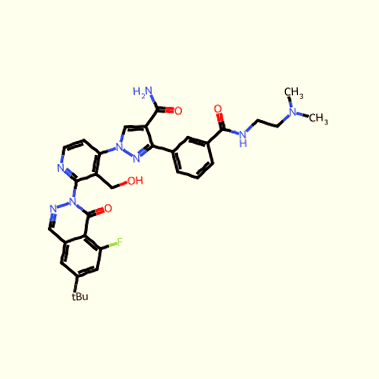 CN(C)CCNC(=O)c1cccc(-c2nn(-c3ccnc(-n4ncc5cc(C(C)(C)C)cc(F)c5c4=O)c3CO)cc2C(N)=O)c1